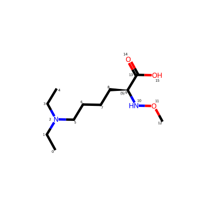 CCN(CC)CCCC[C@H](NOC)C(=O)O